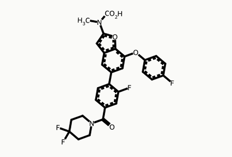 CN(C(=O)O)c1cc2cc(-c3ccc(C(=O)N4CCC(F)(F)CC4)cc3F)cc(Oc3ccc(F)cc3)c2o1